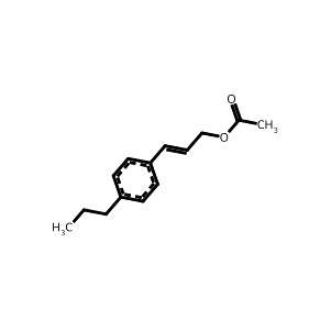 CCCc1ccc(C=CCOC(C)=O)cc1